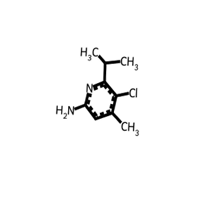 Cc1cc(N)nc(C(C)C)c1Cl